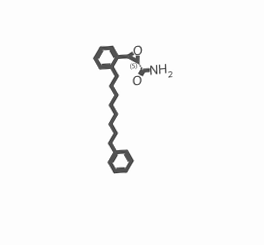 NC(=O)[C@H]1OC1c1ccccc1CCCCCCCCc1ccccc1